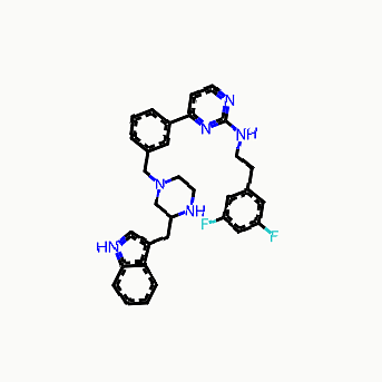 Fc1cc(F)cc(CCNc2nccc(-c3cccc(CN4CCNC(Cc5c[nH]c6ccccc56)C4)c3)n2)c1